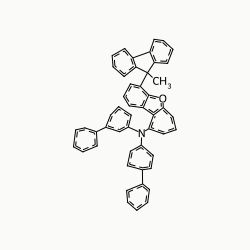 CC1(c2cccc3c2oc2cccc(N(c4ccc(-c5ccccc5)cc4)c4cccc(-c5ccccc5)c4)c23)c2ccccc2-c2ccccc21